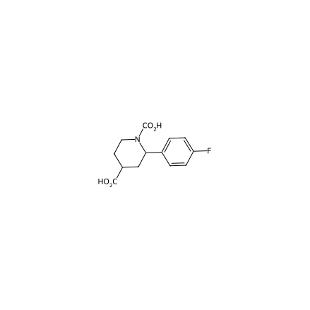 O=C(O)C1CCN(C(=O)O)C(c2ccc(F)cc2)C1